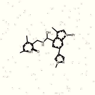 Cc1cc(C)c(CNC(O)c2cc(-c3cnn(C)c3)cc3c2c(C)cn3C(C)C)c(=O)[nH]1